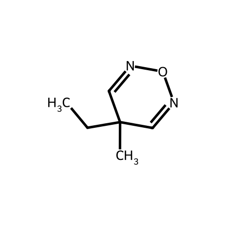 CCC1(C)C=NON=C1